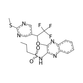 CCCS(=O)(=O)Nc1nc2ccccc2nc1OC(c1cnc(SC)nc1)C(F)(F)F